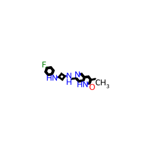 CCc1cc2cnc(CNC3CC(Nc4ccc(F)cc4)C3)cc2[nH]c1=O